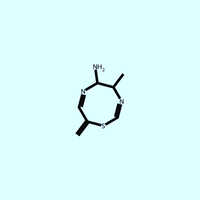 C=C1/C=N\C(N)C(C)N=CS1